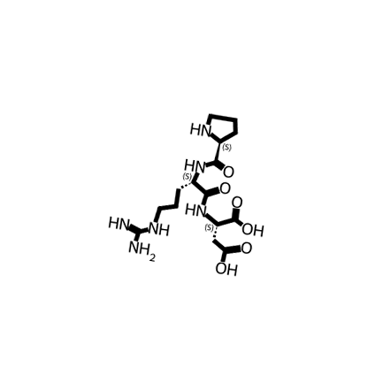 N=C(N)NCCC[C@H](NC(=O)[C@@H]1CCCN1)C(=O)N[C@@H](CC(=O)O)C(=O)O